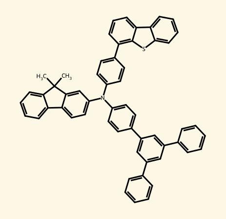 CC1(C)c2ccccc2-c2ccc(N(c3ccc(-c4cc(-c5ccccc5)cc(-c5ccccc5)c4)cc3)c3ccc(-c4cccc5c4sc4ccccc45)cc3)cc21